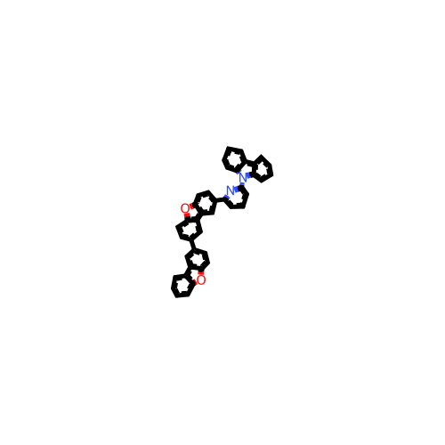 c1cc(-c2ccc3oc4ccc(-c5ccc6oc7ccccc7c6c5)cc4c3c2)nc(-n2c3ccccc3c3ccccc32)c1